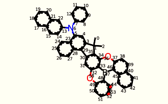 CC1(C)c2cc(N(c3ccccc3)c3ccc4ccccc4c3)c3ccccc3c2-c2cc3c4c(c21)Oc1ccc2ccccc2c1B4c1c(ccc2ccccc12)O3